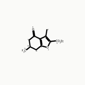 CCOC(=O)c1oc2c(c1C)C(=O)CC(C(F)(F)F)C2